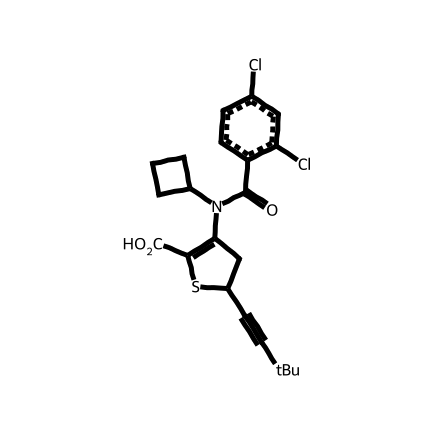 CC(C)(C)C#CC1CC(N(C(=O)c2ccc(Cl)cc2Cl)C2CCC2)=C(C(=O)O)S1